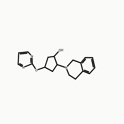 OC1CC(Oc2ncccn2)CC1N1CCc2ccccc2C1